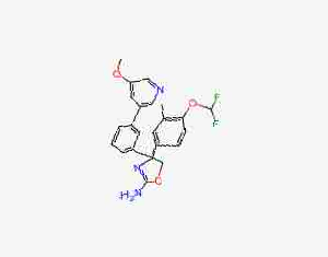 COc1cncc(-c2cccc(C3(c4ccc(OC(F)F)c(C)c4)COC(N)=N3)c2)c1